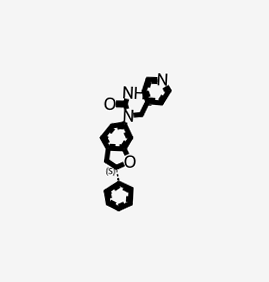 NC(=O)N(Cc1ccncc1)c1ccc2c(c1)O[C@H](c1ccccc1)C2